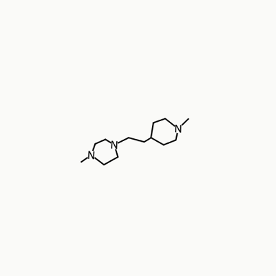 CN1CCC(CCN2CCN(C)CC2)CC1